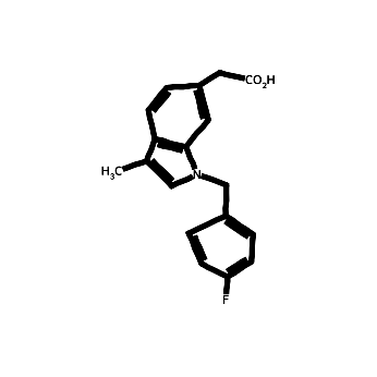 Cc1cn(Cc2ccc(F)cc2)c2cc(CC(=O)O)ccc12